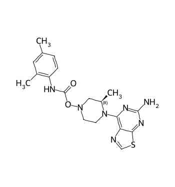 Cc1ccc(NC(=O)ON2CCN(c3nc(N)nc4scnc34)[C@H](C)C2)c(C)c1